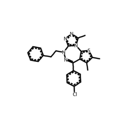 Cc1sc2c(c1C)C(c1ccc(Cl)cc1)=NN(CCc1ccccc1)c1nnc(C)n1-2